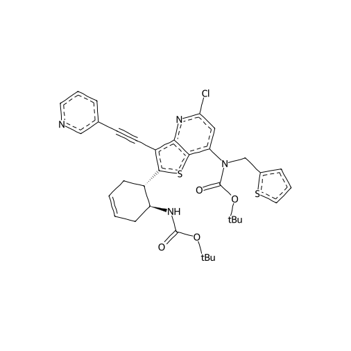 CC(C)(C)OC(=O)N[C@H]1CC=CC[C@@H]1c1sc2c(N(Cc3cccs3)C(=O)OC(C)(C)C)cc(Cl)nc2c1C#Cc1cccnc1